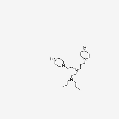 CCCN(CCC)CCN(CCCN1CCNCC1)CCN1CCNCC1